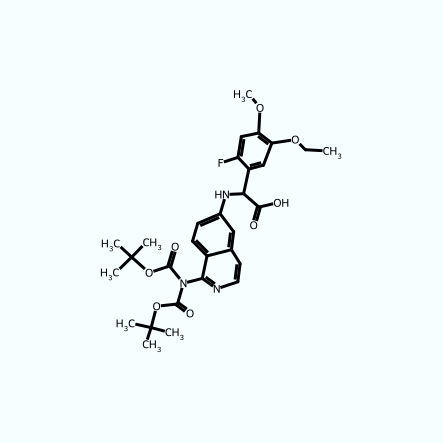 CCOc1cc(C(Nc2ccc3c(N(C(=O)OC(C)(C)C)C(=O)OC(C)(C)C)nccc3c2)C(=O)O)c(F)cc1OC